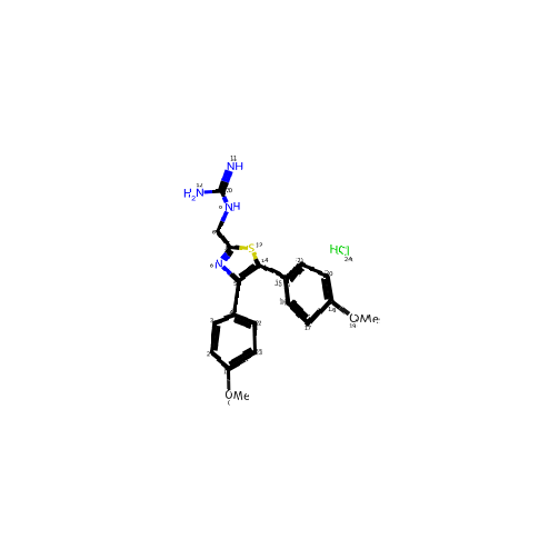 COc1ccc(-c2nc(CNC(=N)N)sc2-c2ccc(OC)cc2)cc1.Cl